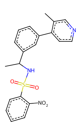 Cc1cnccc1-c1cccc(C(C)NS(=O)(=O)c2ccccc2[N+](=O)[O-])c1